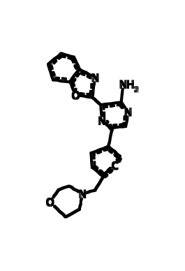 Nc1ncc(-c2ccc(CN3CCOCC3)cc2)nc1-c1nc2ccccc2o1